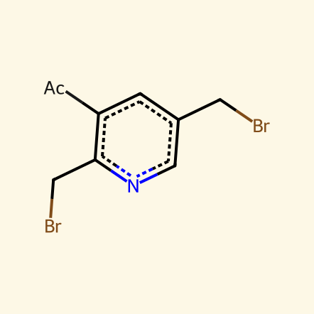 CC(=O)c1cc(CBr)cnc1CBr